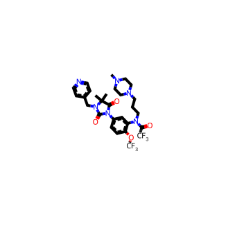 CN1CCN(CCCN(C(=O)C(F)(F)F)c2cc(N3C(=O)N(Cc4ccncc4)C(C)(C)C3=O)ccc2OC(F)(F)F)CC1